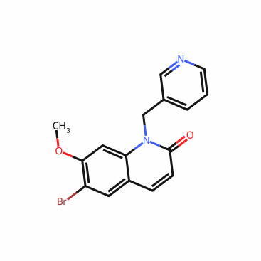 COc1cc2c(ccc(=O)n2Cc2cccnc2)cc1Br